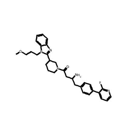 COCCCn1c(C2CCCN(C(=O)CC(N)Cc3ccc(-c4cccnc4F)cc3)C2)nc2ccccc21